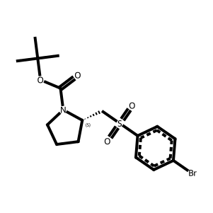 CC(C)(C)OC(=O)N1CCC[C@H]1CS(=O)(=O)c1ccc(Br)cc1